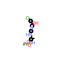 Cc1cc(NS(=O)(=O)C(C)C)ccc1CNc1ccc(N2CCC(O)(c3ccc(Cl)cc3)CC2)cc1